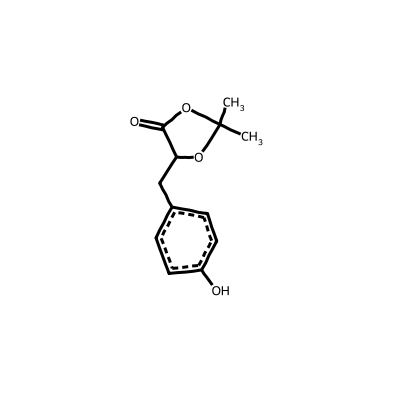 CC1(C)OC(=O)C(Cc2ccc(O)cc2)O1